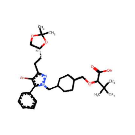 CC1(C)OC[C@@H](CCc2nn(CC3CCC(COC(C(=O)O)C(C)(C)C)CC3)c(-c3ccccc3)c2Br)O1